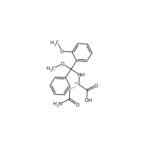 COc1ccccc1C(N[C@@H](CC(N)=O)C(=O)O)(OC)c1ccccc1